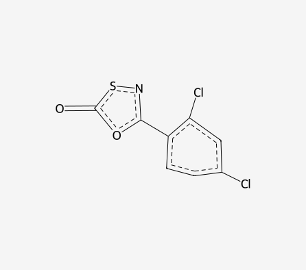 O=c1oc(-c2ccc(Cl)cc2Cl)ns1